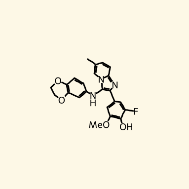 COc1cc(-c2nc3ccc(C)cn3c2Nc2ccc3c(c2)OCCO3)cc(F)c1O